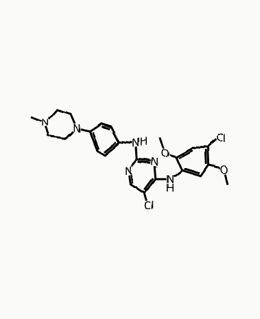 COc1cc(Nc2nc(Nc3ccc(N4CCN(C)CC4)cc3)ncc2Cl)c(OC)cc1Cl